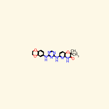 CC1(C)Oc2ccc(Nc3ncnc(Nc4ccc5c(c4)OCCO5)n3)nc2NC1=O